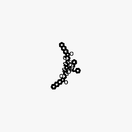 O=C1C(=Cc2cc3sc4c(c3s2)C(C(=O)OCc2ccccc2)(C(=O)OCc2ccccc2)c2c-4sc3cc(C=C4C(=O)c5cc6cc7ccccc7cc6cc5C4=O)sc23)C(=O)c2cc3cc4ccccc4cc3cc21